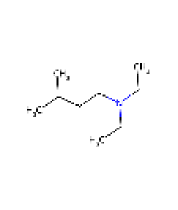 [CH2]CN(C[CH2])CCC(C)C